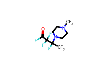 O=C(F)C(F)(F)C(F)(N1CCN(C(F)(F)F)CC1)C(F)(F)F